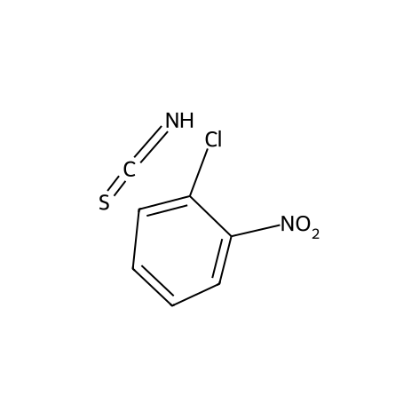 N=C=S.O=[N+]([O-])c1ccccc1Cl